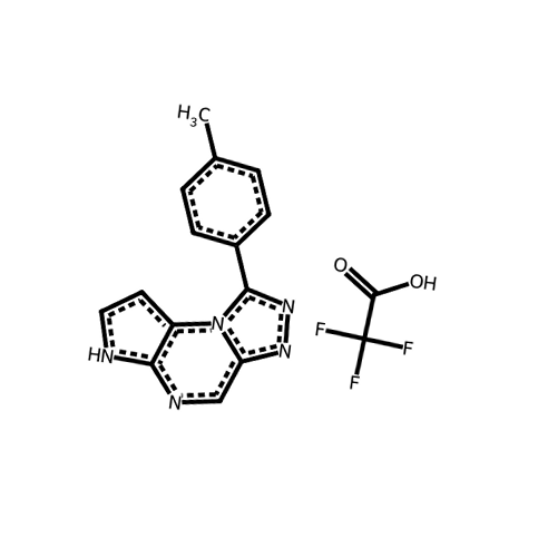 Cc1ccc(-c2nnc3cnc4[nH]ccc4n23)cc1.O=C(O)C(F)(F)F